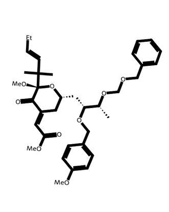 CC/C=C/C(C)(C)[C@]1(OC)O[C@H](C[C@@H](OCc2ccc(OC)cc2)[C@@H](C)OCOCc2ccccc2)C/C(=C\C(=O)OC)C1=O